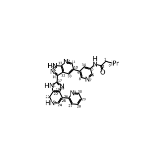 CC(C)CC(=O)Nc1cncc(-c2cnc3[nH]nc(-c4nc5c([nH]4)CNC=C5c4ccccn4)c3c2)c1